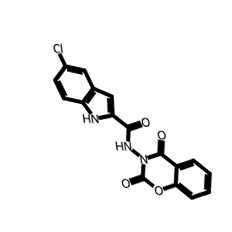 O=C(Nn1c(=O)oc2ccccc2c1=O)c1cc2cc(Cl)ccc2[nH]1